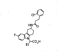 CCC(C(=O)O)n1c2c(c3cc(F)ccc31)CC(NC(=O)CCc1ccccc1Cl)CC2